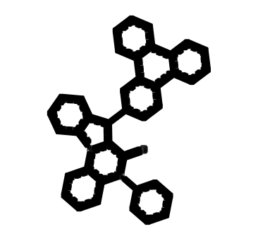 O=c1c2c(-c3ccc4c5ccccc5c5ccccc5c4c3)c3ccccc3n2c2ccccc2n1-c1ccccc1